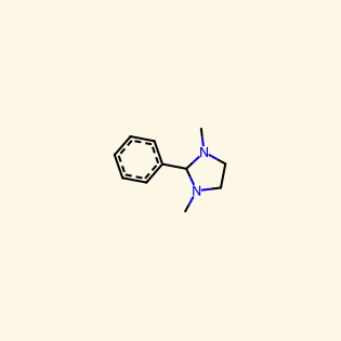 CN1CCN(C)C1c1ccccc1